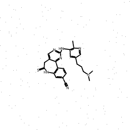 Cc1ncc(CCCN(C)C)cc1Nc1ncc2c(n1)-c1ccc(C#N)cc1NC(=S)C2